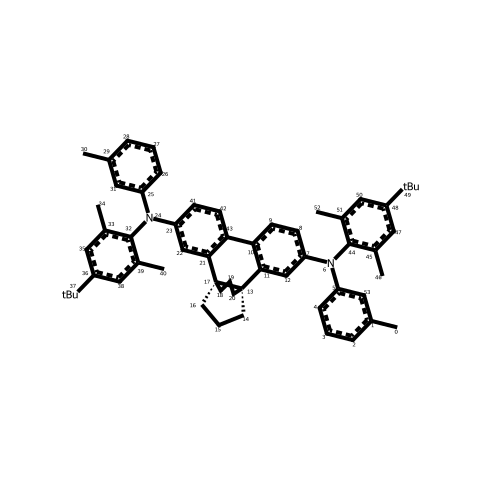 Cc1cccc(N(c2ccc3c(c2)[C@]24CCC[C@]2(CCC4)c2cc(N(c4cccc(C)c4)c4c(C)cc(C(C)(C)C)cc4C)ccc2-3)c2c(C)cc(C(C)(C)C)cc2C)c1